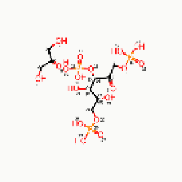 O=C(CO)CO.O=C(COP(=O)(O)O)[C@@H](OP(=O)(O)O)[C@H](O)[C@H](O)COP(=O)(O)O